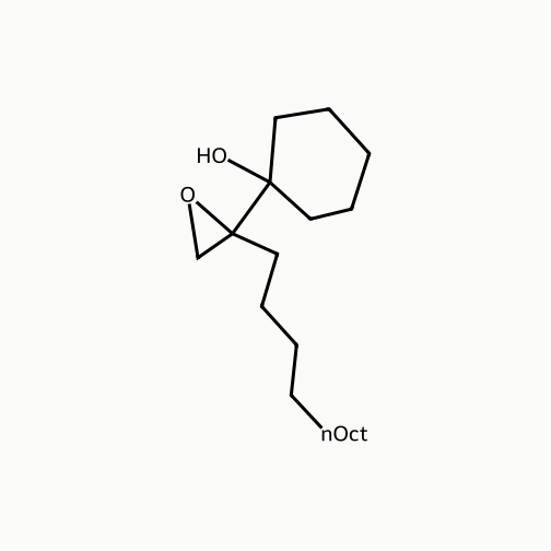 CCCCCCCCCCCCC1(C2(O)CCCCC2)CO1